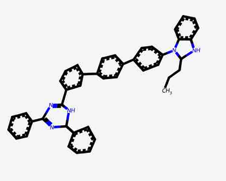 CCCC1Nc2ccccc2N1c1ccc(-c2ccc(-c3cccc(C4=NC(c5ccccc5)=NC(c5ccccc5)N4)c3)cc2)cc1